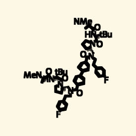 CN[C@@H](C)C(=O)N[C@H](C(=O)N1CCC[C@H]1CN(CCc1ccc(F)cc1)C(=O)c1ccc(-c2ccc(C(=O)N(CCc3ccc(F)cc3)C[C@@H]3CCCN3C(=O)[C@@H](NC(=O)[C@H](C)NC)C(C)(C)C)cc2)cc1)C(C)(C)C